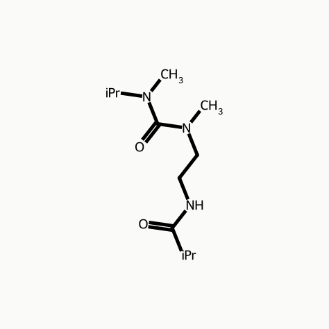 CC(C)C(=O)NCCN(C)C(=O)N(C)C(C)C